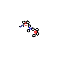 C=C/C(=C\C=C/C)c1cccc2c1oc1c(-c3ccc(N(c4ccccc4)c4ccc(-c5cccc6c5oc5c(C7=CC=C=C=C7)cccc56)cc4)cc3)cccc12